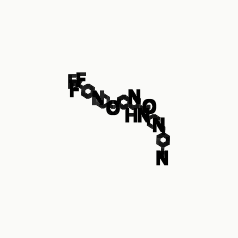 N#Cc1ccc(CN2CCC(NC(=O)c3cnc4ccc(OC5CCN(c6ccc(C(F)(F)F)cc6)CC5)cc4c3)CC2)cc1